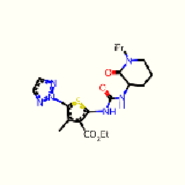 CCOC(=O)c1c(NC(=O)NC2CCCN(C(C)C)C2=O)sc(-n2nccn2)c1C